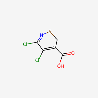 O=C(O)C1=C(Cl)C(Cl)=NSC1